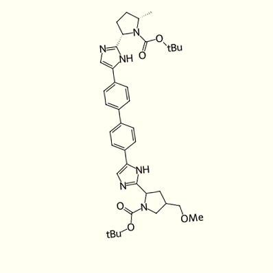 COCC1CC(c2ncc(-c3ccc(-c4ccc(-c5cnc([C@@H]6CC[C@H](C)N6C(=O)OC(C)(C)C)[nH]5)cc4)cc3)[nH]2)N(C(=O)OC(C)(C)C)C1